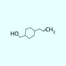 C=CCC1CCC(CO)CC1